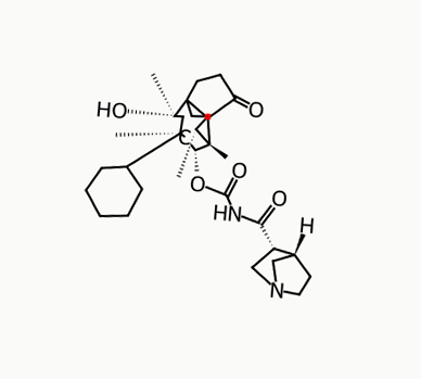 C[C@@H]1CCC23CCC(=O)C2[C@]1(C)[C@H](OC(=O)NC(=O)[C@H]1CN2CC[C@@H]1C2)C[C@@](C)(C1CCCCC1)[C@@H](O)[C@@H]3C